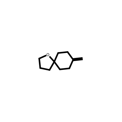 C=C1CCC2(CCCO2)CC1